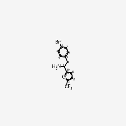 NC(Cc1ccc(Br)cc1)c1ccc(C(F)(F)F)o1